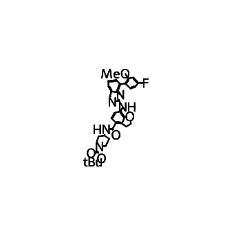 COc1cc(F)ccc1-c1cccc2cnc(Nc3ccc(C(=O)NC4CCN(C(=O)OC(C)(C)C)CC4)c4c3OCC4)nc12